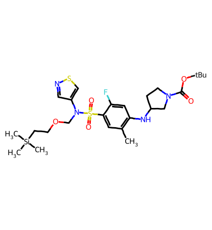 Cc1cc(S(=O)(=O)N(COCC[Si](C)(C)C)c2cnsc2)c(F)cc1NC1CCN(C(=O)OC(C)(C)C)C1